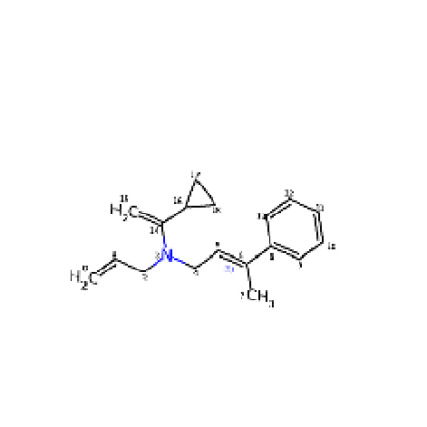 C=CCN(C/C=C(\C)c1ccccc1)C(=C)C1CC1